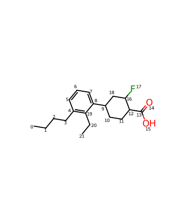 CCCCc1cccc(C2CCC(C(=O)O)C(F)C2)c1CC